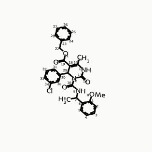 COc1ccccc1C(C)NC(=O)N1C(=O)NC(C)=C(C(=O)OCc2ccccc2)C1c1cccc(Cl)c1